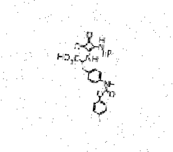 CCCNc1c(NC(Cc2ccc(NC(=O)Oc3ccc(C)cc3)cc2)C(=O)O)c(=O)c1=O